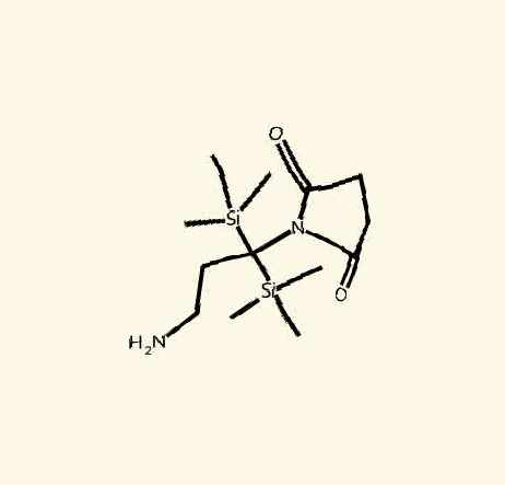 C[Si](C)(C)C(CCN)(N1C(=O)CCC1=O)[Si](C)(C)C